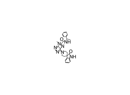 CC(NC(=O)c1nc2c(N3CCC4(CC3)C(=O)Nc3ccccc34)ncnc2n1C)c1ccccc1